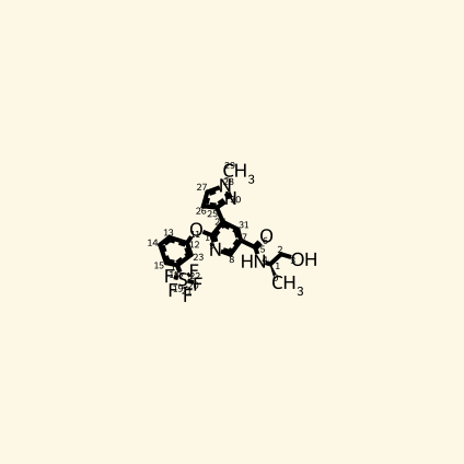 C[C@H](CO)NC(=O)c1cnc(Oc2cccc(S(F)(F)(F)(F)F)c2)c(-c2ccn(C)n2)c1